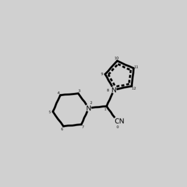 N#CC(N1CCCCC1)n1cccc1